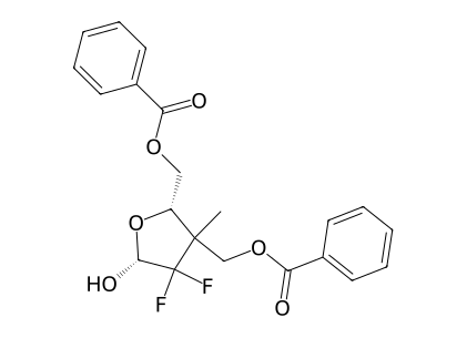 CC1(COC(=O)c2ccccc2)[C@@H](COC(=O)c2ccccc2)O[C@@H](O)C1(F)F